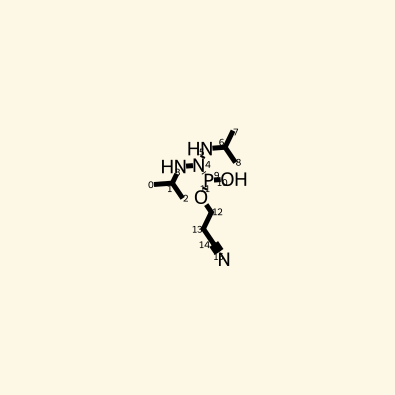 CC(C)NN(NC(C)C)P(O)OCCC#N